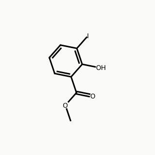 COC(=O)c1cccc(I)c1O